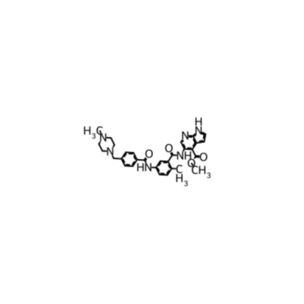 COC(=O)c1c(NC(=O)c2cc(NC(=O)c3ccc(CN4CCN(C)CC4)cc3)ccc2C)cnc2[nH]ccc12